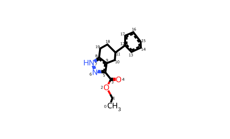 CCOC(=O)c1n[nH]c2c1CC(c1ccccc1)CC2